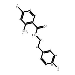 Nc1cc(Cl)ccc1C(=O)NCCc1ccc(Cl)cc1